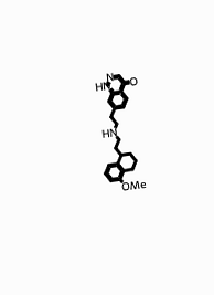 COc1cccc2c1CCCC2CCNCCc1ccc2c(=O)cn[nH]c2c1